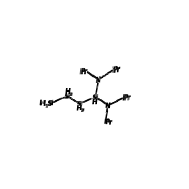 CC(C)N(C(C)C)[SiH]([SiH2][SiH2][SiH3])N(C(C)C)C(C)C